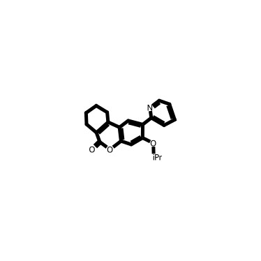 CC(C)Oc1cc2oc(=O)c3c(c2cc1-c1ccccn1)CCCC3